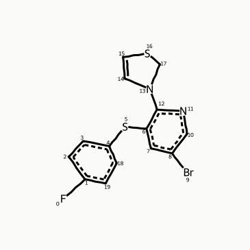 Fc1ccc(Sc2cc(Br)cnc2N2C=CSC2)cc1